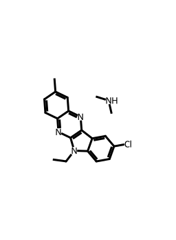 CCn1c2ccc(Cl)cc2c2nc3cc(C)ccc3nc21.CNC